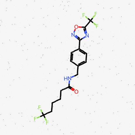 O=C(CCCCC(F)(F)F)NCc1ccc(-c2noc(C(F)(F)F)n2)cc1